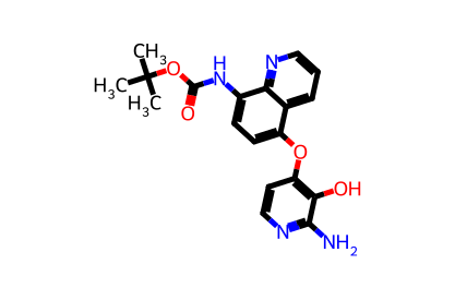 CC(C)(C)OC(=O)Nc1ccc(Oc2ccnc(N)c2O)c2cccnc12